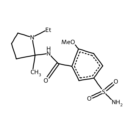 CCN1CCCC1(C)NC(=O)c1cc(S(N)(=O)=O)ccc1OC